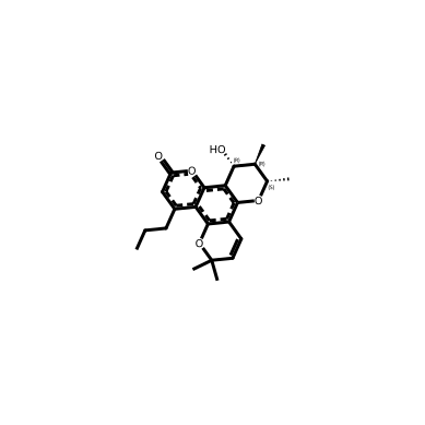 CCCc1cc(=O)oc2c3c(c4c(c12)OC(C)(C)C=C4)O[C@@H](C)[C@H](C)[C@H]3O